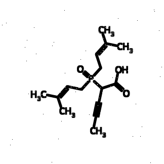 CC#CC(C(=O)O)P(=O)(CC=C(C)C)CC=C(C)C